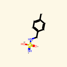 Cc1ccc(CNS(=N)(=O)O)cc1